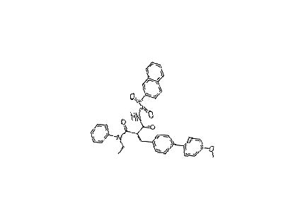 CCN(C(=O)C(Cc1ccc(-c2ccc(OC)cc2)cc1)C(=O)NS(=O)(=O)c1ccc2ccccc2c1)c1ccccc1